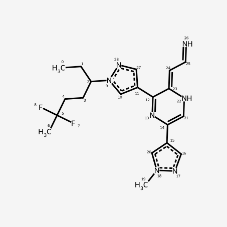 CCC(CCC(C)(F)F)n1cc(C2=NC(c3cnn(C)c3)=CN/C2=C\C=N)cn1